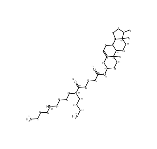 CC1CCC2C3CC=C4CC(OC(=O)CCCC(=O)N(CCCN)CCCCNCCCN)CCC4(C)C3CCC12C